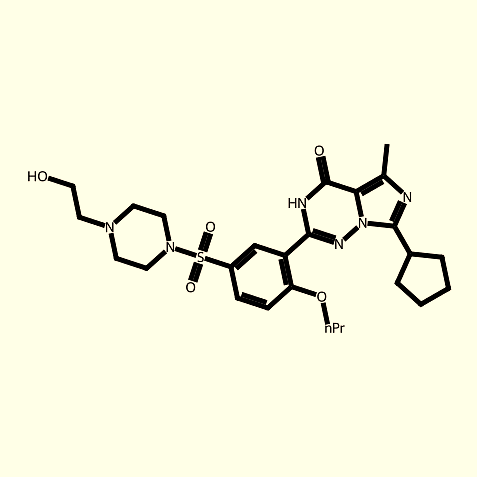 CCCOc1ccc(S(=O)(=O)N2CCN(CCO)CC2)cc1-c1nn2c(C3CCCC3)nc(C)c2c(=O)[nH]1